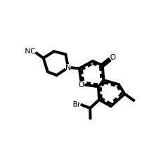 Cc1cc(C(C)Br)c2oc(N3CCC(C#N)CC3)cc(=O)c2c1